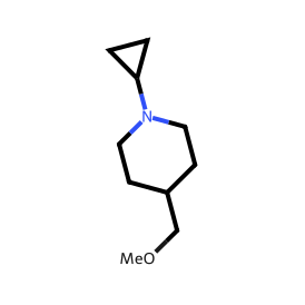 COCC1CCN(C2CC2)CC1